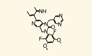 C/C=C(\C(C)=N)c1cc2c(cn1)CN(c1c(F)c(OC)cc(OC)c1F)C(=O)N2Cc1cncnc1